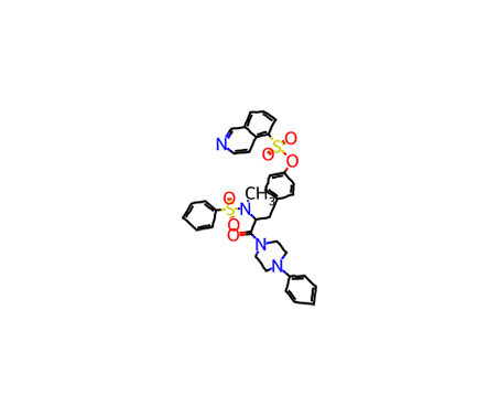 CN(C(Cc1ccc(OS(=O)(=O)c2cccc3cnccc23)cc1)C(=O)N1CCN(c2ccccc2)CC1)S(=O)(=O)c1ccccc1